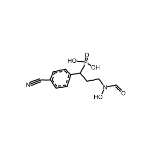 N#Cc1ccc(C(CCN(O)C=O)P(=O)(O)O)cc1